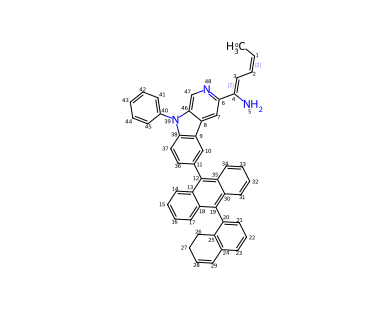 C/C=C\C=C(/N)c1cc2c3cc(-c4c5ccccc5c(-c5cccc6c5CCC=C6)c5ccccc45)ccc3n(-c3ccccc3)c2cn1